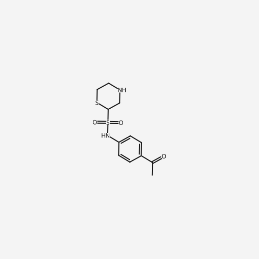 CC(=O)c1ccc(NS(=O)(=O)C2CNCCS2)cc1